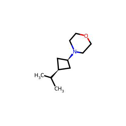 CC(C)[C@H]1C[C@@H](N2CCOCC2)C1